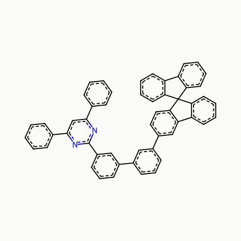 c1ccc(-c2cc(-c3ccccc3)nc(-c3cccc(-c4cccc(-c5ccc6c(c5)-c5ccccc5C65c6ccccc6-c6ccccc65)c4)c3)n2)cc1